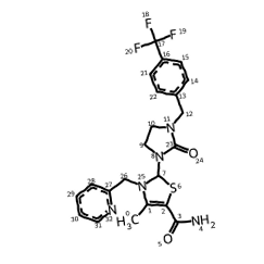 CC1=C(C(N)=O)SC(N2CCN(Cc3ccc(C(F)(F)F)cc3)C2=O)N1Cc1ccccn1